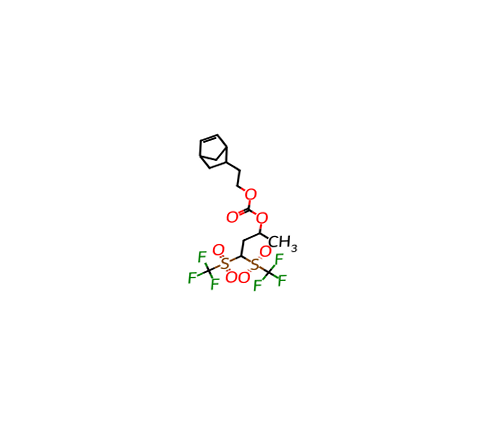 CC(CC(S(=O)(=O)C(F)(F)F)S(=O)(=O)C(F)(F)F)OC(=O)OCCC1CC2C=CC1C2